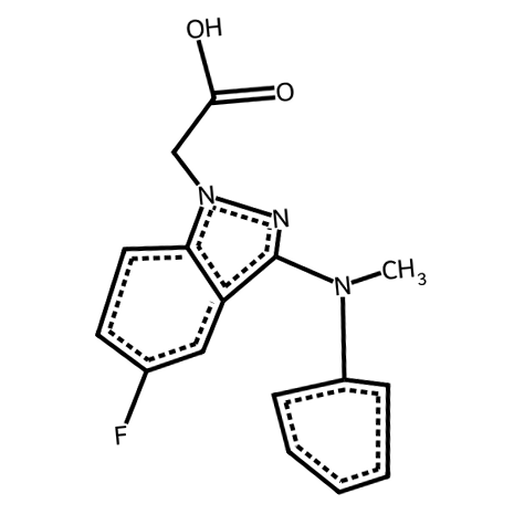 CN(c1ccccc1)c1nn(CC(=O)O)c2ccc(F)cc12